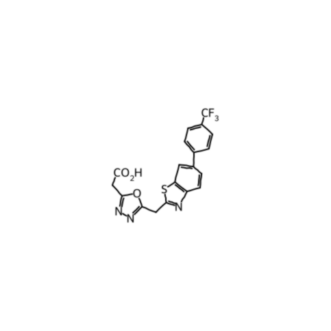 O=C(O)Cc1nnc(Cc2nc3ccc(-c4ccc(C(F)(F)F)cc4)cc3s2)o1